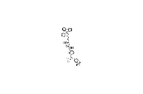 COC(=O)CN(Cc1ccc(C(F)(F)F)cc1)Cc1cccc(CNC(=O)CC(O)C=CCCSC(c2ccccc2)(c2ccccc2)c2ccccc2)n1